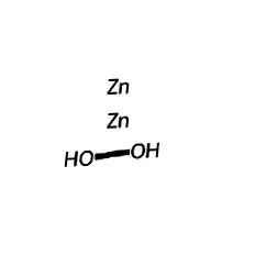 OO.[Zn].[Zn]